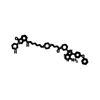 Nc1ncnc2c1c(-c1ccc(Oc3ccccc3)cc1)nn2[C@@H]1CCCN(C(=O)CCCN2CCN(CCCCCCNc3cccc4c3CN(C3CCCNC3)C4=O)CC2)C1